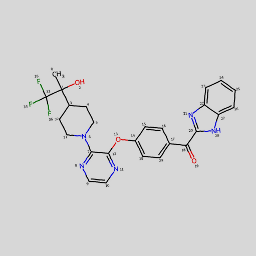 CC(O)(C1CCN(c2nccnc2Oc2ccc(C(=O)c3nc4ccccc4[nH]3)cc2)CC1)C(F)(F)F